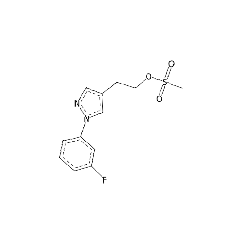 CS(=O)(=O)OCCc1cnn(-c2cccc(F)c2)c1